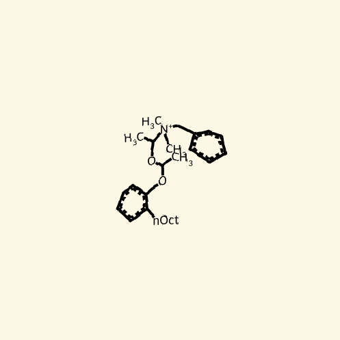 CCCCCCCCc1ccccc1OC(C)OC(C)[N+](C)(C)Cc1ccccc1